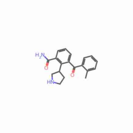 Cc1ccccc1C(=O)c1cccc(C(N)=O)c1C1CCNC1